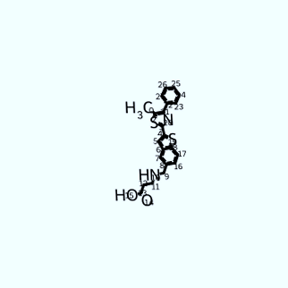 Cc1sc(-c2cc3cc(CNCCC(=O)O)ccc3s2)nc1-c1ccccc1